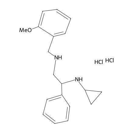 COc1ccccc1CNCC(NC1CC1)c1ccccc1.Cl.Cl